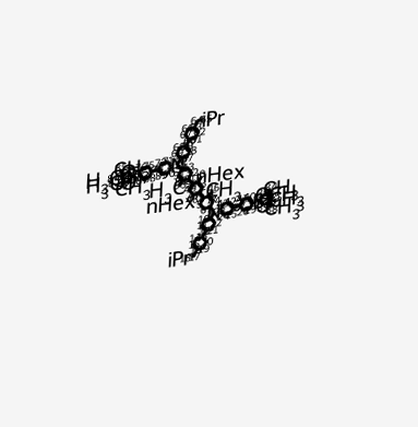 CCCCCCC1=CC(C2CCC(N(C3=CC=C(C4CC=C(CC(C)C)CC4)CC3)C3C=CC(c4ccc(B5OC(C)(C)C(C)(C)O5)cc4)=CC3)C=C2C)C(CCCCCC)C=C1C1CC=C(N(C2=CC=C(C3=CC=C(CC(C)C)CC3)CC2)C2C=CC(C3C=CC(B4OC(C)(C)C(C)(C)O4)=CC3)=CC2)C=C1C